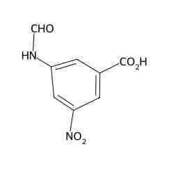 O=CNc1cc(C(=O)O)cc([N+](=O)[O-])c1